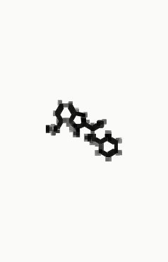 Cc1cccc2cc(C(=O)Nc3ccccn3)[nH]c12